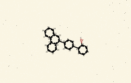 Brc1ccccc1-c1ccc(-c2cc3ccccc3c3ccccc23)cc1